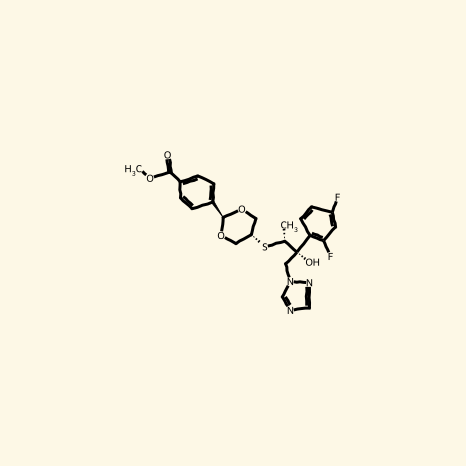 COC(=O)c1ccc([C@H]2OC[C@H](S[C@H](C)[C@](O)(Cn3cncn3)c3ccc(F)cc3F)CO2)cc1